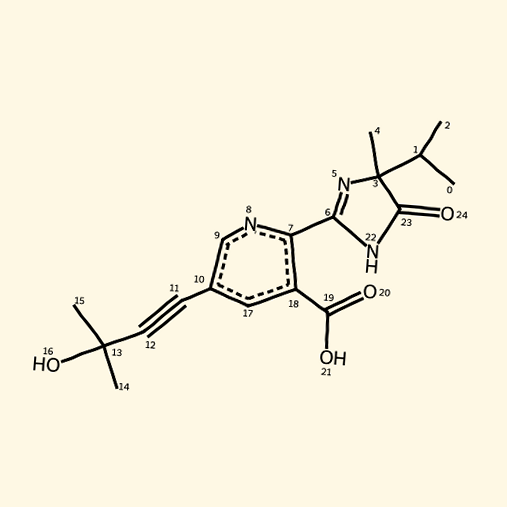 CC(C)C1(C)N=C(c2ncc(C#CC(C)(C)O)cc2C(=O)O)NC1=O